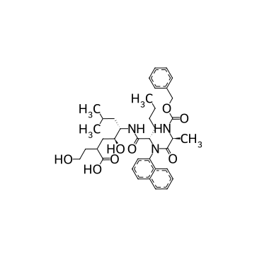 CCCC[C@@H](C(=O)N[C@@H](CC(C)C)[C@@H](O)CC(CCO)C(=O)O)N(C(=O)[C@H](C)NC(=O)OCc1ccccc1)c1cccc2ccccc12